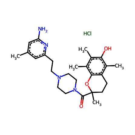 Cc1cc(N)nc(CCN2CCN(C(=O)C3(C)CCc4c(C)c(O)c(C)c(C)c4O3)CC2)c1.Cl